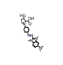 CN(C)c1ccc2c(c1)n(C)c(/N=N/c1ccc(N3CCC(O)C3C(=O)O)cc1)[n+]2C